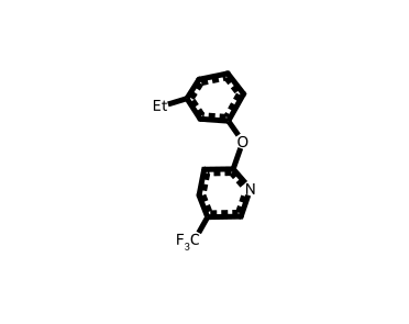 CCc1cccc(Oc2ccc(C(F)(F)F)cn2)c1